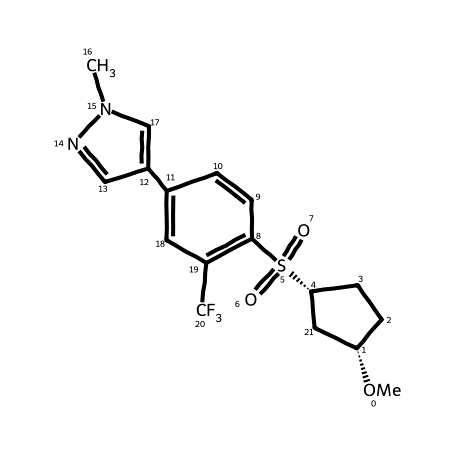 CO[C@H]1CC[C@@H](S(=O)(=O)c2ccc(-c3cnn(C)c3)cc2C(F)(F)F)C1